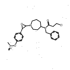 C=[PH](C)Oc1ccc(C2OC2N2CCCC(N(Cc3ccccc3)C(=O)CCCl)CC2)cc1